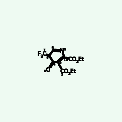 CCOC(=O)C1=C(C(=O)OCC)C(=O)C(C(F)(F)F)C=N1